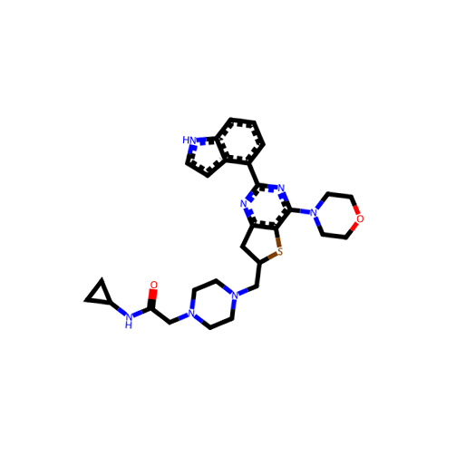 O=C(CN1CCN(CC2Cc3nc(-c4cccc5[nH]ccc45)nc(N4CCOCC4)c3S2)CC1)NC1CC1